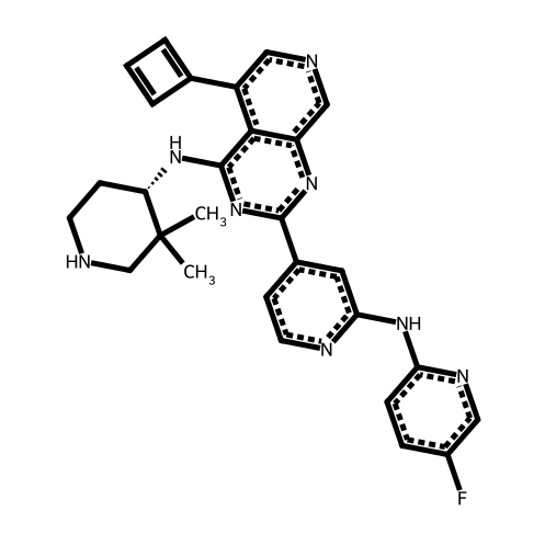 CC1(C)CNCC[C@@H]1Nc1nc(-c2ccnc(Nc3ccc(F)cn3)c2)nc2cncc(C3=CC=C3)c12